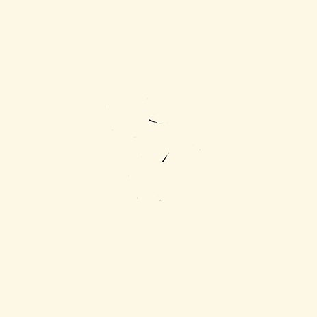 O=P1(O)O[C@H](c2ccccc2)[C@H](c2ccccc2)O1